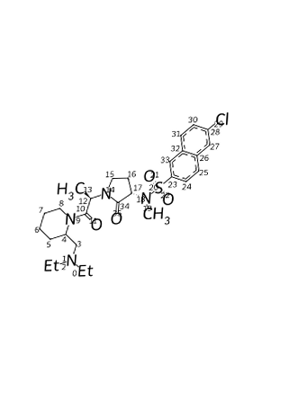 CCN(CC)CC1CCCCN1C(=O)[C@@H](C)N1CC[C@H](N(C)S(=O)(=O)c2ccc3cc(Cl)ccc3c2)C1=O